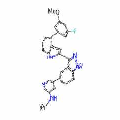 COc1cc(F)cc(-c2cccc3[nH]c(-c4n[nH]c5ccc(-c6cncc(NC(C)C)c6)cc45)cc23)c1